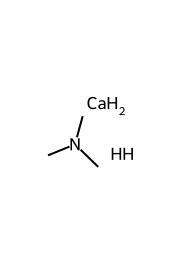 CN(C)C.[CaH2].[HH]